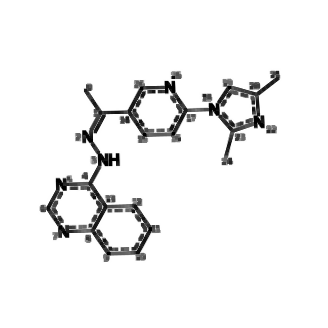 CC(=NNc1ncnc2ccccc12)c1ccc(-n2cc(C)nc2C)nc1